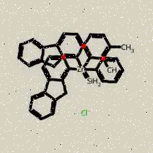 Cc1ccc[c]([Zr](=[SiH2])([c]2ccccc2)([c]2cccc3c2Cc2ccccc2-3)[c]2cccc3c2Cc2ccccc2-3)c1C.[Cl-]